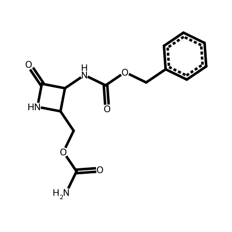 NC(=O)OCC1NC(=O)C1NC(=O)OCc1ccccc1